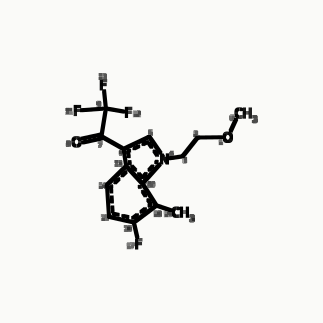 COCCn1cc(C(=O)C(F)(F)F)c2ccc(F)c(C)c21